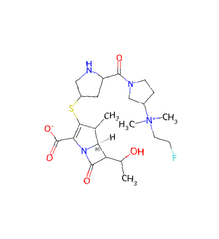 CC(O)C1C(=O)N2C(C(=O)[O-])=C(SC3CNC(C(=O)N4CCC([N+](C)(C)CCF)C4)C3)C(C)[C@@H]12